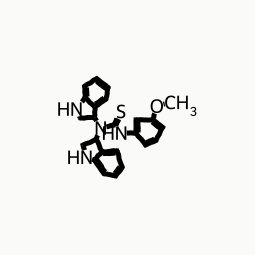 COc1cccc(NC(=S)N(C2CNc3ccccc32)C2CNc3ccccc32)c1